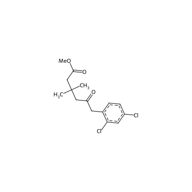 COC(=O)CC(C)(C)CC(=O)Cc1ccc(Cl)cc1Cl